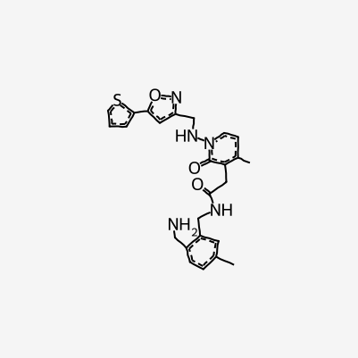 Cc1ccc(CN)c(CNC(=O)Cc2c(C)ccn(NCc3cc(-c4cccs4)on3)c2=O)c1